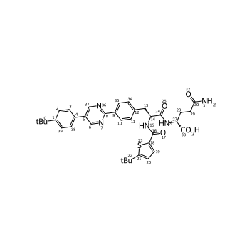 CC(C)(C)c1ccc(-c2cnc(-c3ccc(C[C@H](NC(=O)c4ccc(C(C)(C)C)s4)C(=O)N[C@@H](CCC(N)=O)C(=O)O)cc3)nc2)cc1